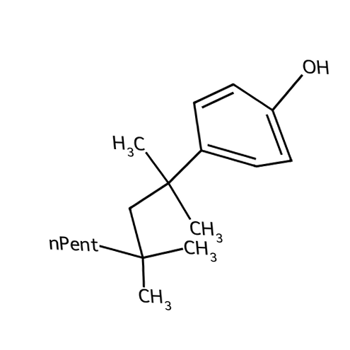 CCCCCC(C)(C)CC(C)(C)c1ccc(O)cc1